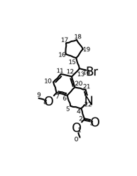 COC(=O)C1Cc2c(OC)ccc(C(Br)C3CCCC3)c2C=N1